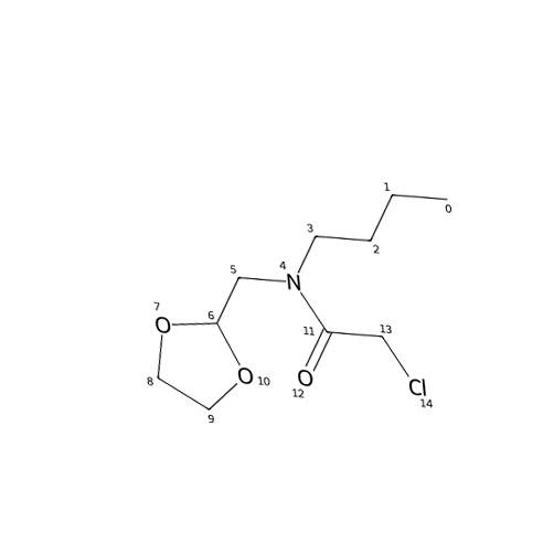 CCCCN(CC1OCCO1)C(=O)CCl